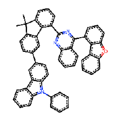 CC1(C)c2ccc(-c3ccc4c(c3)c3ccccc3n4-c3ccccc3)cc2-c2c(-c3nc(-c4cccc5oc6ccccc6c45)c4ccccc4n3)cccc21